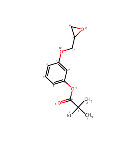 CCC(C)(C)C(=O)Oc1cccc(OCC2CO2)c1